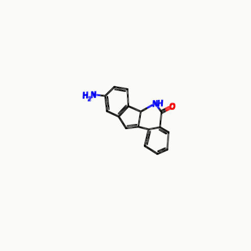 Nc1ccc2c(c1)C=C1c3ccccc3C(=O)NC12